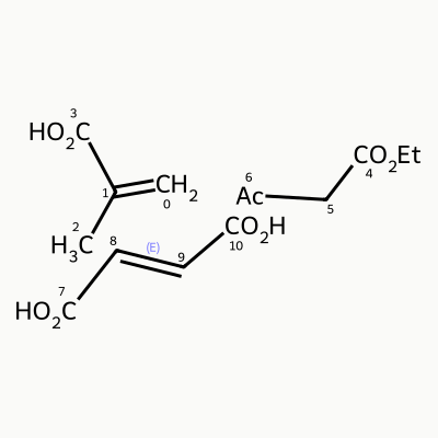 C=C(C)C(=O)O.CCOC(=O)CC(C)=O.O=C(O)/C=C/C(=O)O